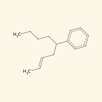 CC=CCC(CCCC)c1ccccc1